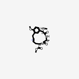 CN[C@@H]1C(=O)N[C@@H](C)C(=O)N[C@H](C(=O)OC)C/C=C/Cc2cc1ccc2OC